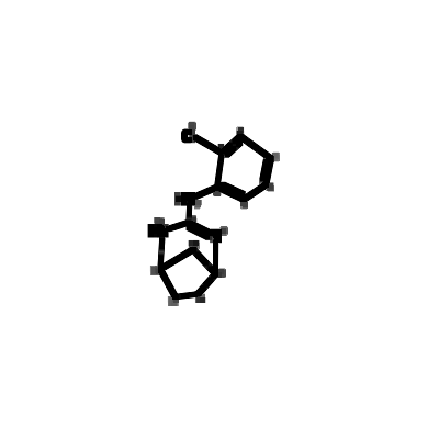 Clc1ccccc1NC1=NC2CCC(C2)N1